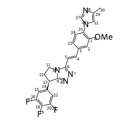 COc1cc(C=Cc2nnc3n2CC[C@@H]3c2cc(F)c(F)c(F)c2)ccc1-n1cnc(C)c1